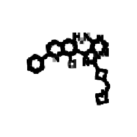 Nc1ncnn2c(C3CC(CN4CCC4)C3)nc(-c3ccc4ccc(-c5ccccc5)nc4c3Cl)c12